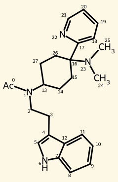 CC(=O)N(CCc1c[nH]c2ccccc12)C1CCC(c2ccccn2)(N(C)C)CC1